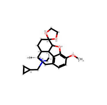 COc1ccc2c3c1OC1C4(CCC5[C@H](C2)N(CC2CC2)CC[C@]351)OCCO4